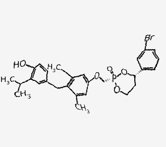 Cc1cc(OC[P@@]2(=O)OCC[C@@H](c3cccc(Br)c3)O2)cc(C)c1Cc1ccc(O)c(C(C)C)c1